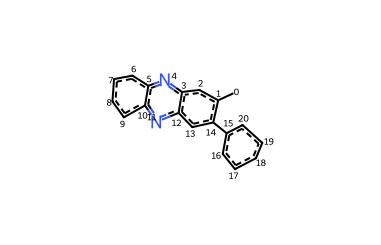 Cc1cc2nc3ccccc3nc2cc1-c1ccccc1